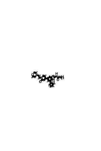 CCNC(=O)Nc1nc2cc(-c3ccn(CCN4CCOCC4)c(=O)c3)cc(-n3cccn3)c2[nH]1